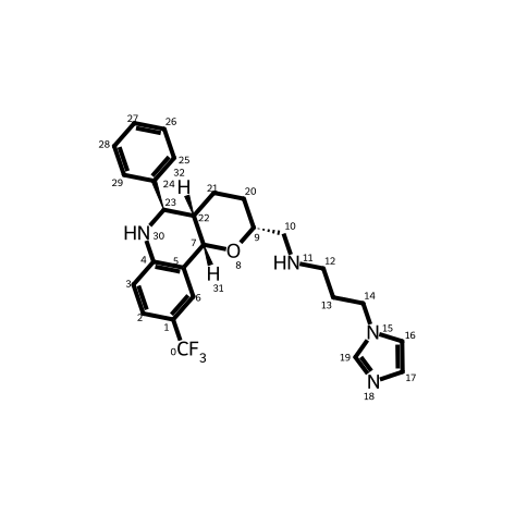 FC(F)(F)c1ccc2c(c1)[C@H]1O[C@@H](CNCCCn3ccnc3)CC[C@H]1[C@H](c1ccccc1)N2